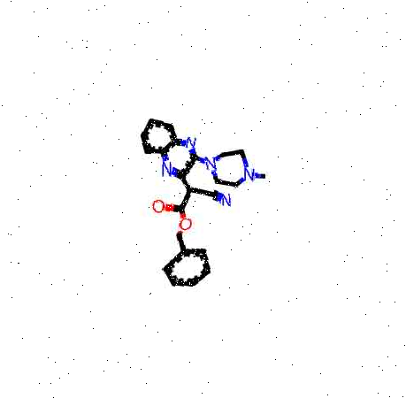 CN1CCN(c2nc3ccccc3nc2C(C#N)C(=O)OCc2ccccc2)CC1